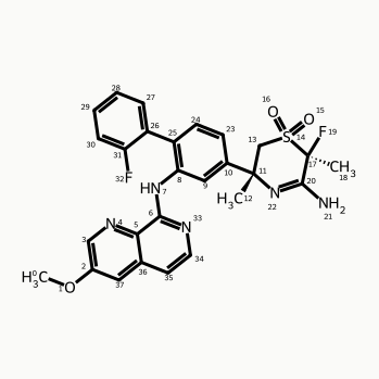 COc1cnc2c(Nc3cc([C@]4(C)CS(=O)(=O)[C@@](C)(F)C(N)=N4)ccc3-c3ccccc3F)nccc2c1